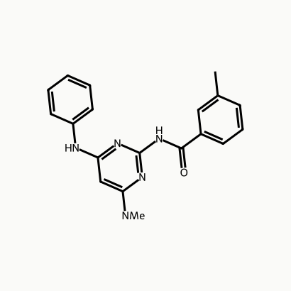 CNc1cc(Nc2ccccc2)nc(NC(=O)c2cccc(C)c2)n1